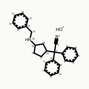 Cl.N#CC(c1ccccc1)(c1ccccc1)C1CCC(NCc2ccccc2)C1